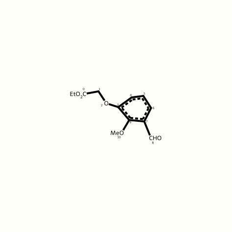 CCOC(=O)COc1cccc(C=O)c1OC